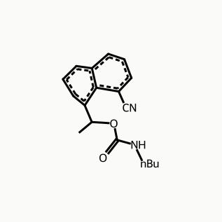 CCCCNC(=O)OC(C)c1cccc2cccc(C#N)c12